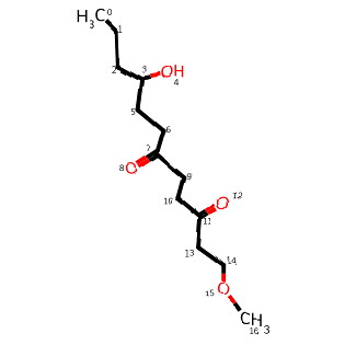 CCCC(O)CCC(=O)CCC(=O)CCOC